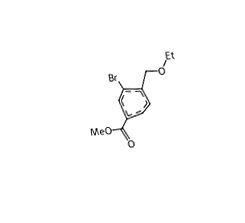 CCOCc1ccc(C(=O)OC)cc1Br